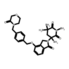 BN1C(=O)C(B)(B)CC(B)(N2Cc3c(OCc4ccc(CN5CCOCC5=O)cc4)cccc3C2=O)C1=O